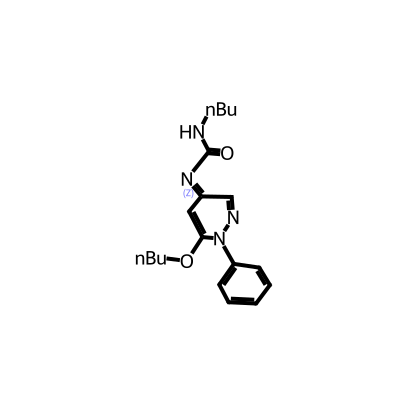 CCCCNC(=O)/N=c1\cnn(-c2ccccc2)c(OCCCC)c1